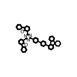 c1ccc2c(c1)-c1c(-c3ccc(-c4ccc(-c5nc(-c6cccc7c6oc6ccccc67)nc(-c6cccc7c6oc6ccccc67)n5)cc4)cc3)cccc1C21CCCCC1